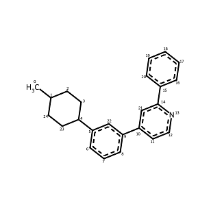 CC1CCC(c2cccc(-c3ccnc(-c4ccccc4)c3)c2)CC1